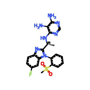 C[C@@H](Nc1ncnc(N)c1N)c1nc2ccc(F)cc2n1-c1ccccc1S(C)(=O)=O